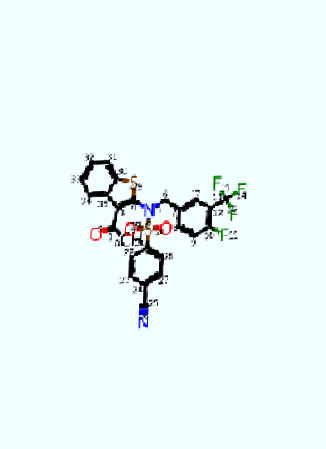 CC(=O)c1c(N(Cc2ccc(F)c(C(F)(F)F)c2)S(=O)(=O)c2ccc(C#N)cc2)sc2ccccc12